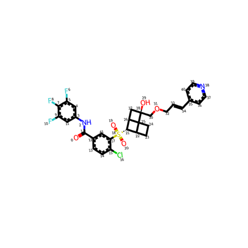 O=C(Nc1cc(F)c(F)c(F)c1)c1ccc(Cl)c(S(=O)(=O)[C@H]2C3CCC34C2C[C@]4(O)COC/C=C/c2ccncc2)c1